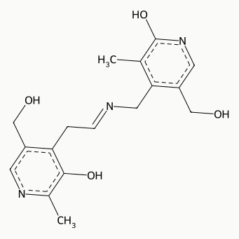 Cc1ncc(CO)c(C/C=N/Cc2c(CO)cnc(O)c2C)c1O